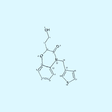 O=C1C(CCO)Oc2ccccc2N1Cc1ccsc1